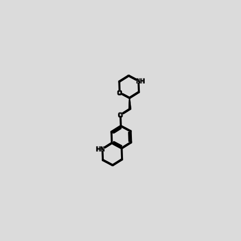 c1cc2c(cc1OC[C@@H]1CNCCO1)NCCC2